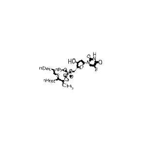 CCCCCCCCCCCCSC(CCCCCCC)[C@H](C)OOP(=O)(OCCC)OC[C@H]1O[C@@H](n2cc(F)c(=O)[nH]c2=O)C[C@@H]1O